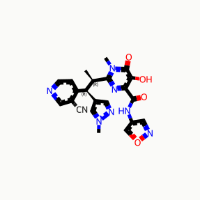 C[C@@H](c1nc(C(=O)Nc2cnoc2)c(O)c(=O)n1C)[C@@H](c1cnn(C)c1)c1ccncc1C#N